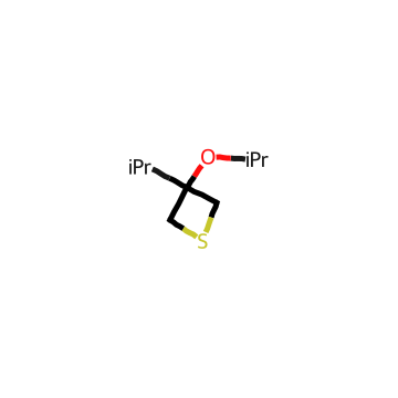 CC(C)OC1(C(C)C)CSC1